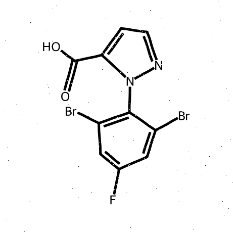 O=C(O)c1ccnn1-c1c(Br)cc(F)cc1Br